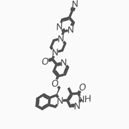 Cc1c(N2Cc3ccccc3[C@H]2COc2ccnc(C(=O)N3CCN(c4ncc(C#N)cn4)CC3)c2)cn[nH]c1=O